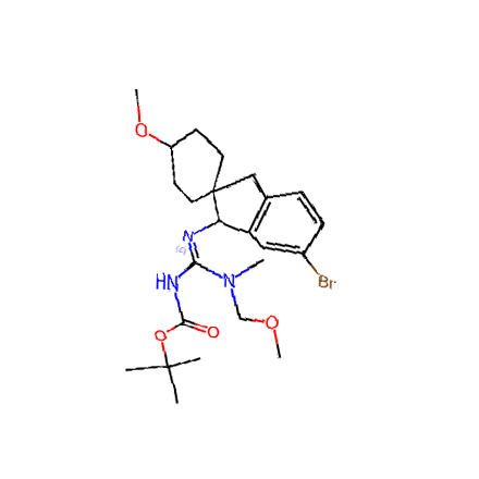 COCN(C)/C(=N\C1c2cc(Br)ccc2CC12CCC(OC)CC2)NC(=O)OC(C)(C)C